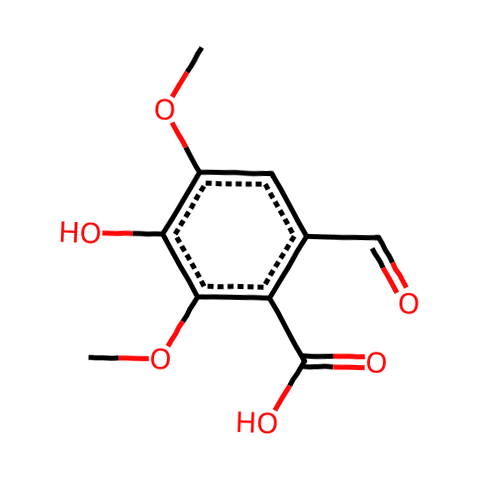 COc1cc(C=O)c(C(=O)O)c(OC)c1O